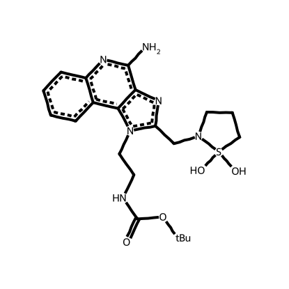 CC(C)(C)OC(=O)NCCn1c(CN2CCCS2(O)O)nc2c(N)nc3ccccc3c21